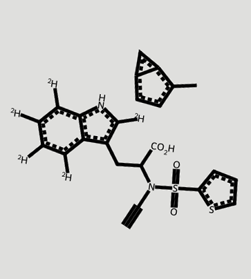 Cc1ccc2cc1-2.[2H]c1[nH]c2c([2H])c([2H])c([2H])c([2H])c2c1CC(C(=O)O)N(C#C)S(=O)(=O)c1cccs1